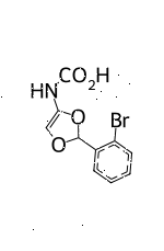 O=C(O)NC1=COC(c2ccccc2Br)O1